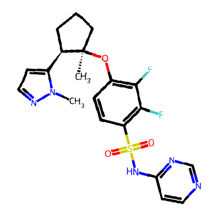 Cn1nccc1[C@H]1CCC[C@@]1(C)Oc1ccc(S(=O)(=O)Nc2ccncn2)c(F)c1F